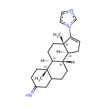 C[C@]12CCC(=N)CC1CC[C@@H]1[C@@H]2CC[C@]2(C)C(n3ccnc3)=CC[C@@H]12